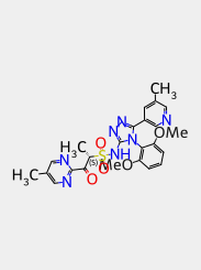 COc1cccc(OC)c1-n1c(NS(=O)(=O)[C@@H](C)C(=O)c2ncc(C)cn2)nnc1-c1cncc(C)c1